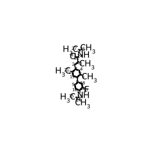 C/C(=C\c1cc(C)c(-c2ccc(NC(C)C)c(F)c2)cc1C)C(=O)NC(C)C